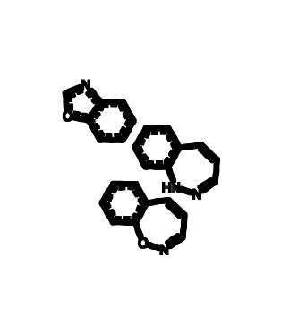 C1=Cc2ccccc2NN=C1.C1=Cc2ccccc2ON=C1.c1ccc2ocnc2c1